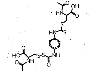 CC(=O)NC(CSSC(=O)Nc1ccc(NC(=S)SCC(NC(C)=O)C(=O)O)cc1)C(=O)O